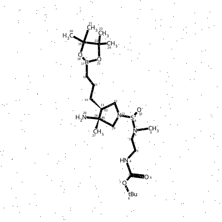 CN(CCNC(=O)OC(C)(C)C)[S+]([O-])N1C[C@H](CCCB2OC(C)(C)C(C)(C)O2)[C@@](C)(N)C1